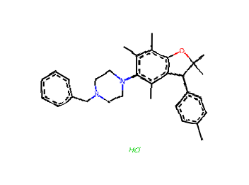 Cc1ccc(C2c3c(C)c(N4CCN(Cc5ccccc5)CC4)c(C)c(C)c3OC2(C)C)cc1.Cl